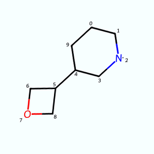 C1C[N]CC(C2COC2)C1